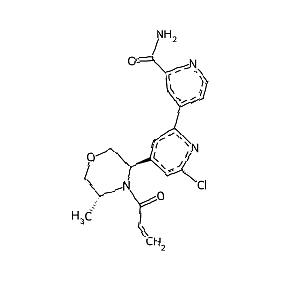 C=CC(=O)N1[C@H](C)COC[C@H]1c1cc(Cl)nc(-c2ccnc(C(N)=O)c2)c1